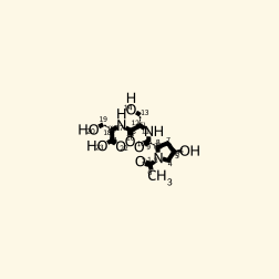 CC(=O)N1C[C@H](O)C[C@H]1C(=O)N[C@@H](CO)C(=O)N[C@@H](CO)C(=O)O